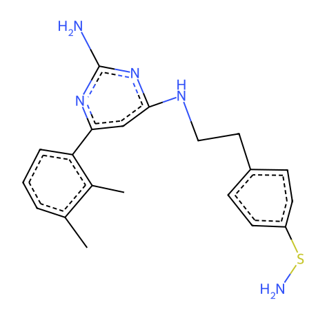 Cc1cccc(-c2cc(NCCc3ccc(SN)cc3)nc(N)n2)c1C